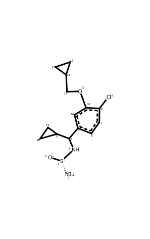 CCCC[S@+]([O-])NC(c1ccc(Cl)c(OCC2CC2)c1)C1CC1